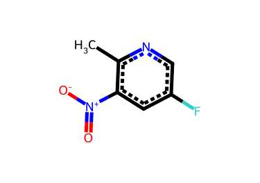 Cc1ncc(F)cc1[N+](=O)[O-]